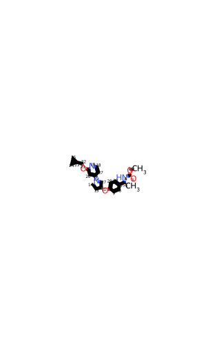 COC(=O)N[C@@H](C)c1ccc(OC2CCN(c3ccnc(OCC4CC4)c3)C2)cc1